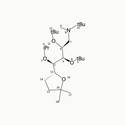 CC(C)O[C@@H]([C@H](OC(C)(C)C)[C@H](CN(C)C(C)(C)C)OC(C)(C)C)[C@H]1CCC(C)(C)O1